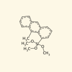 CO[Si](OC)(OC)c1cccc2cc3ccccc3c(C)c12